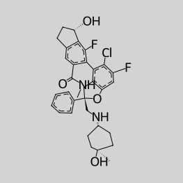 CNC(=O)c1cc2c(c(F)c1-c1c(Cl)c(F)cc3c1C[C@@](CN[C@H]1CC[C@](C)(O)CC1)(c1ccccc1)O3)[C@@H](O)CC2